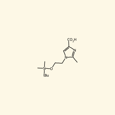 Cc1nc(C(=O)O)cn1CCO[Si](C)(C)C(C)(C)C